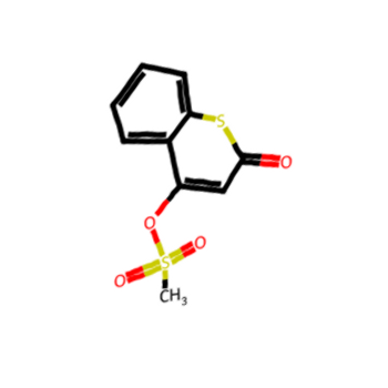 CS(=O)(=O)Oc1cc(=O)sc2ccccc12